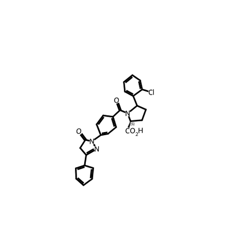 O=C(O)[C@@H]1CCC(c2ccccc2Cl)N1C(=O)c1ccc(N2N=C(c3ccccc3)CC2=O)cc1